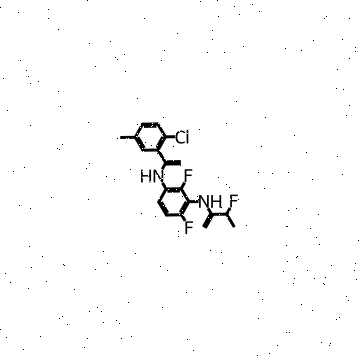 C=C(Nc1ccc(F)c(NC(=C)C(C)F)c1F)c1cc(C)ccc1Cl